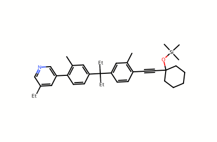 CCc1cncc(-c2ccc(C(CC)(CC)c3ccc(C#CC4(O[Si](C)(C)C)CCCCC4)c(C)c3)cc2C)c1